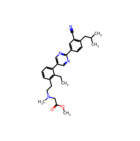 CCc1c(CCN(C)CC(=O)OC)cccc1-c1cnc(-c2ccc(CC(C)C)c(C#N)c2)nc1